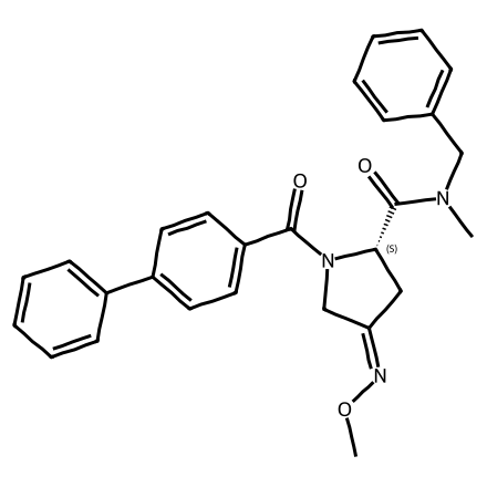 CON=C1C[C@@H](C(=O)N(C)Cc2ccccc2)N(C(=O)c2ccc(-c3ccccc3)cc2)C1